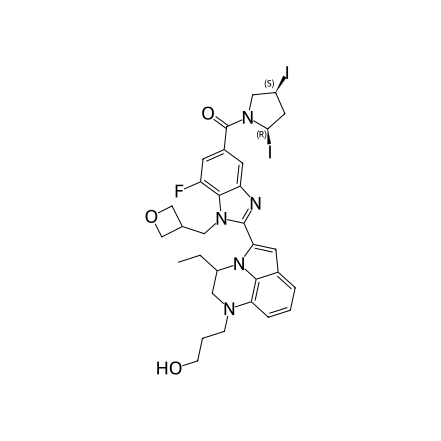 CCC1CN(CCCO)c2cccc3cc(-c4nc5cc(C(=O)N6C[C@@H](I)C[C@H]6I)cc(F)c5n4CC4COC4)n1c23